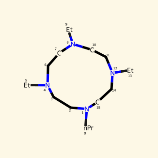 CCCN1CCN(CC)CCN(CC)CCN(CC)CC1